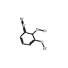 CCOC1=CC=CC(=[N+]=[N-])C1OCC